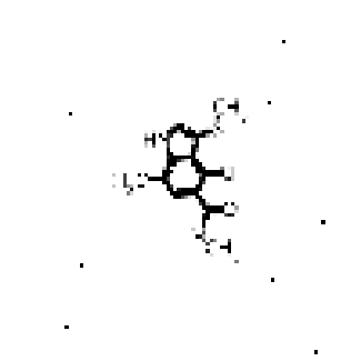 COC(=O)c1cc(C)c2[nH]cc(SC)c2c1Cl